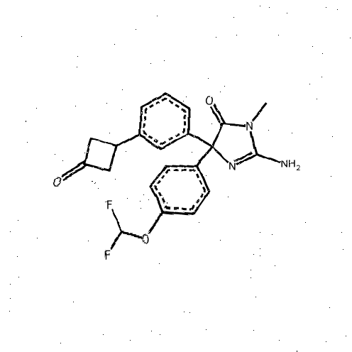 CN1C(=O)C(c2ccc(OC(F)F)cc2)(c2cccc(C3CC(=O)C3)c2)N=C1N